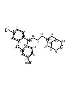 Brc1ccc2c(c1)Oc1cc(Br)ccc1N2CCCN1CC2COCC(C2)C1